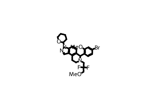 COCC(F)(F)CN1CCc2c(ccc3c2cnn3C2CCCCO2)C1c1ccc(Br)cc1OC